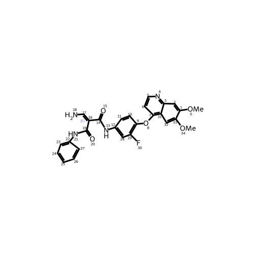 COc1cc2nccc(Oc3ccc(NC(=O)/C(=C/N)C(=O)Nc4ccccc4)cc3F)c2cc1OC